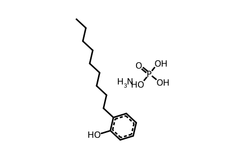 CCCCCCCCCc1ccccc1O.N.O=P(O)(O)O